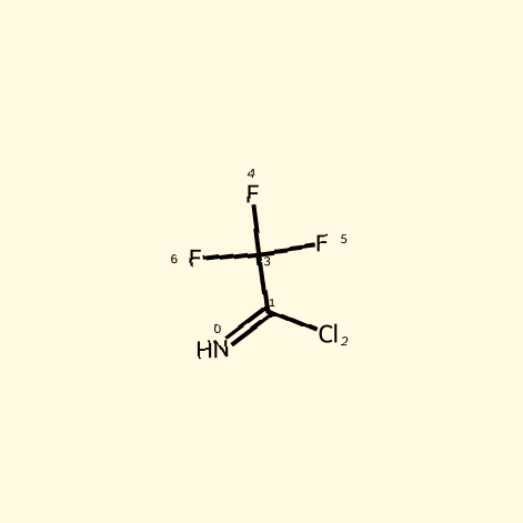 N=C(Cl)C(F)(F)F